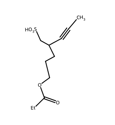 CC#CC(CCCOC(=O)CC)CS(=O)(=O)O